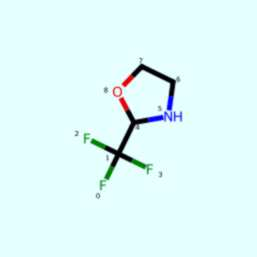 FC(F)(F)C1NC[CH]O1